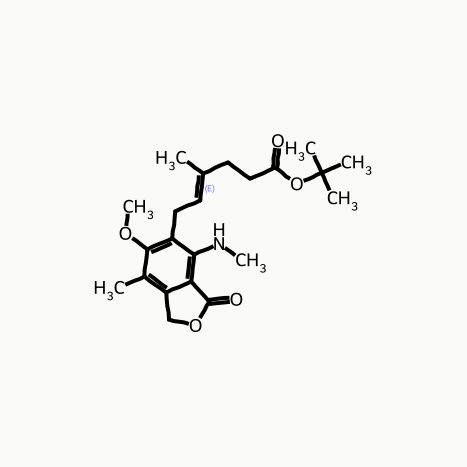 CNc1c(C/C=C(\C)CCC(=O)OC(C)(C)C)c(OC)c(C)c2c1C(=O)OC2